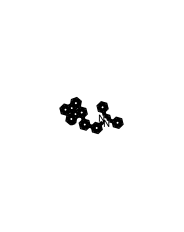 c1ccc2c(c#1)-c1c(-c3cccc(-c4cccc(-c5nc(-c6ccccc6)cc(-c6ccccc6)n5)c4)c3)cccc1C21c2ccccc2-c2ccccc21